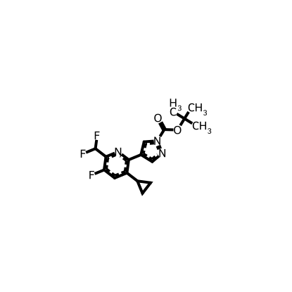 CC(C)(C)OC(=O)n1cc(-c2nc(C(F)F)c(F)cc2C2CC2)cn1